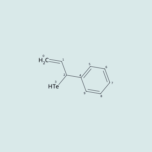 C=CC([TeH])c1ccccc1